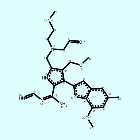 CNCCN(CC=O)Cc1[nH]c(/C(N)=N\C=N)c(-c2cc3cc(C)cc(OC)c3s2)c1COC